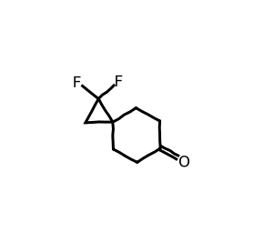 O=C1CCC2(CC1)CC2(F)F